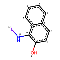 Oc1ccc2ccccc2c1NI